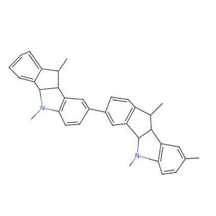 Cc1ccc2c(c1)C1C(C)c3ccc(-c4ccc5c(c4)C4C(C)c6ccccc6C4N5C)cc3C1N2C